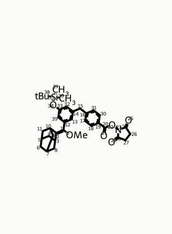 COC(=C1C2CC3CC(C2)CC1C3)c1cc(Cc2ccc(C(=O)ON3C(=O)CCC3=O)cc2)cc(O[Si](C)(C)C(C)(C)C)c1